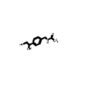 CC(C)CC(O)c1ccc(CNC(=O)C(F)(F)F)cc1